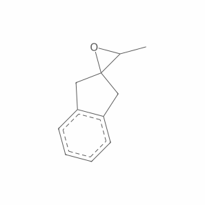 CC1OC12Cc1ccccc1C2